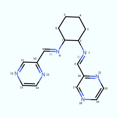 C(=N\C1CCCCC1/N=C/c1cnccn1)/c1cnccn1